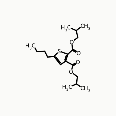 CCCCc1cc(C(=O)OCC(C)C)c(C(=O)OCC(C)C)s1